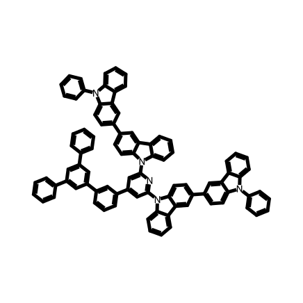 c1ccc(-c2cc(-c3ccccc3)cc(-c3cccc(-c4cc(-n5c6ccccc6c6cc(-c7ccc8c(c7)c7ccccc7n8-c7ccccc7)ccc65)nc(-n5c6ccccc6c6cc(-c7ccc8c(c7)c7ccccc7n8-c7ccccc7)ccc65)c4)c3)c2)cc1